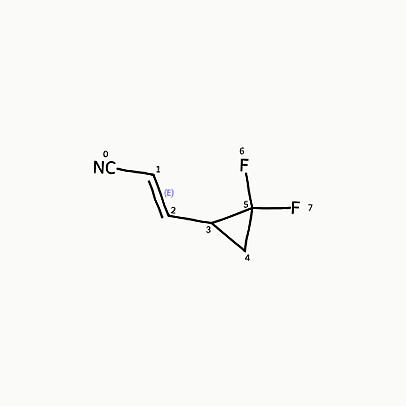 N#C/C=C/C1CC1(F)F